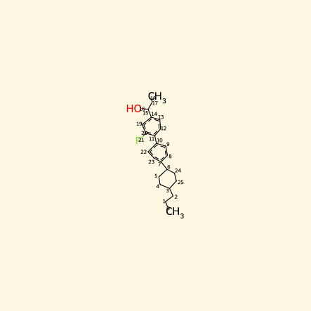 CCCC1CCC(c2ccc(-c3ccc(C(O)CC)cc3F)cc2)CC1